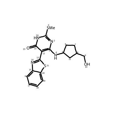 CSc1nc(NC2CCC(CO)C2)c(-c2nc3ccccc3s2)c(=O)[nH]1